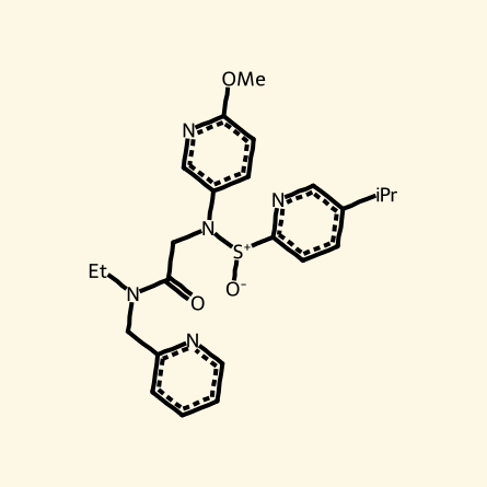 CCN(Cc1ccccn1)C(=O)CN(c1ccc(OC)nc1)[S+]([O-])c1ccc(C(C)C)cn1